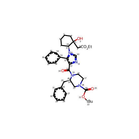 CCOC(=O)CC1(O)CCCC[C@@H]1n1cnc(C(=O)N2CCN(C(=O)OC(C)(C)C)C[C@H]2Cc2ccccc2)c1-c1ccccc1